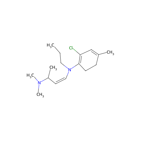 CCCN(/C=C\C(C)N(C)C)C1=C(Cl)C=C(C)CC1